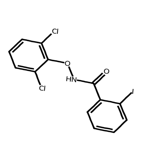 O=C(NOc1c(Cl)cccc1Cl)c1ccccc1I